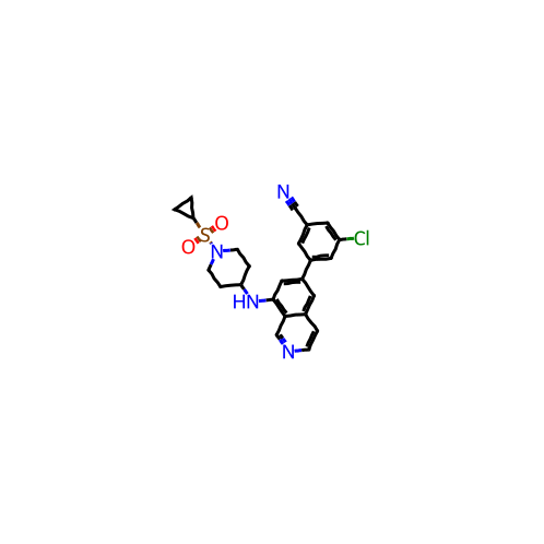 N#Cc1cc(Cl)cc(-c2cc(NC3CCN(S(=O)(=O)C4CC4)CC3)c3cnccc3c2)c1